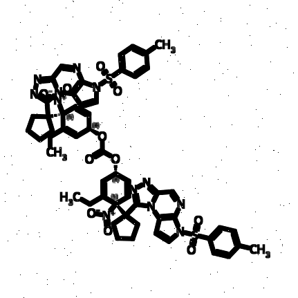 CCC1=C[C@H](OC(=O)O[C@@H]2C=C[C@@]([N+](=O)[O-])(C3(c4nnc5cnc6c(ccn6S(=O)(=O)c6ccc(C)cc6)n45)CCCC3)C(CC)=C2)C=C[C@@]1([N+](=O)[O-])C1(c2nnc3cnc4c(ccn4S(=O)(=O)c4ccc(C)cc4)n23)CCCC1